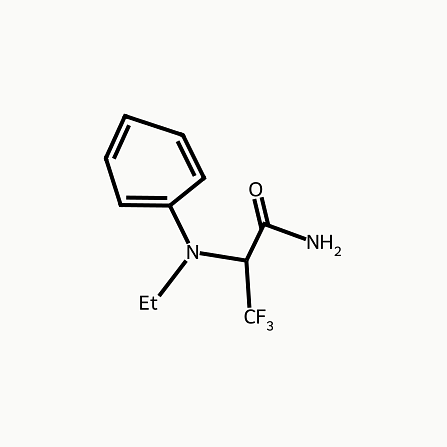 CCN(c1ccccc1)C(C(N)=O)C(F)(F)F